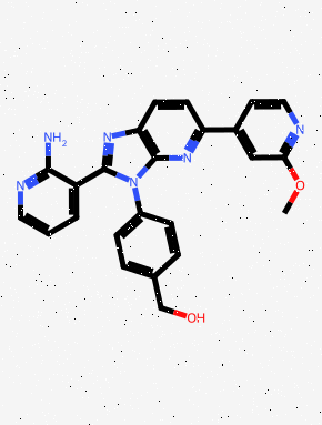 COc1cc(-c2ccc3nc(-c4cccnc4N)n(-c4ccc(CO)cc4)c3n2)ccn1